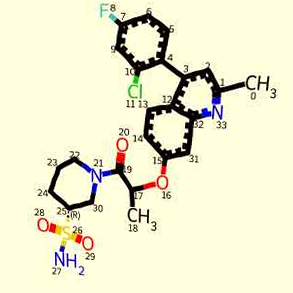 Cc1cc(-c2ccc(F)cc2Cl)c2ccc(OC(C)C(=O)N3CCC[C@@H](S(N)(=O)=O)C3)cc2n1